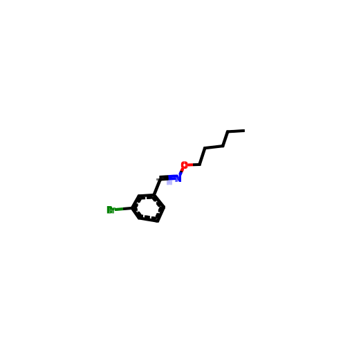 CCCCCO/N=[C]/c1cccc(Br)c1